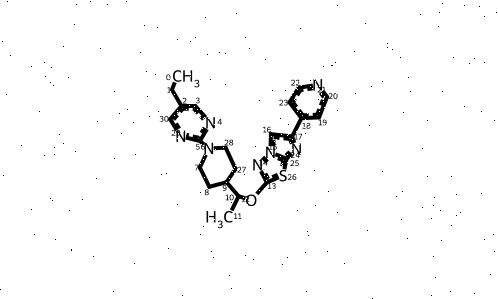 CCc1cnc(N2CCC(C(C)Oc3nn4cc(-c5ccncc5)nc4s3)CC2)nc1